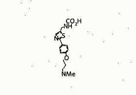 CNCCCOc1ccc(-c2ncc(CNC(=O)O)s2)cc1